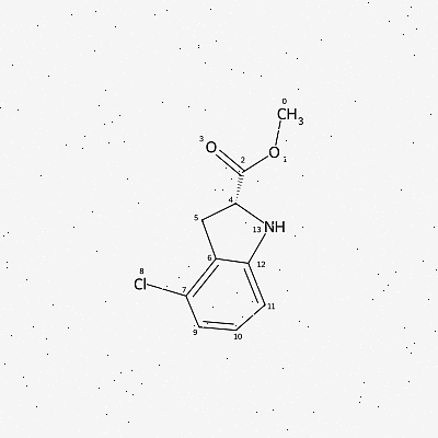 COC(=O)[C@H]1Cc2c(Cl)cccc2N1